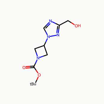 CC(C)(C)OC(=O)N1CC(n2cnc(CO)n2)C1